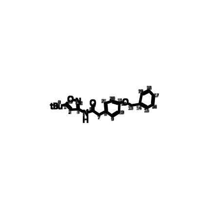 CC(C)(C)c1cc(NC(=O)Cc2ccc(OCc3ccccc3)cc2)no1